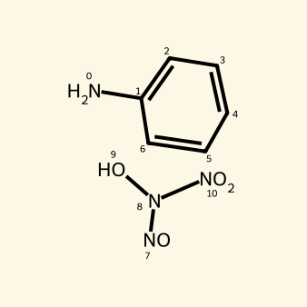 Nc1ccccc1.O=NN(O)[N+](=O)[O-]